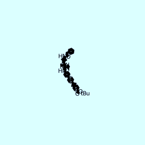 CC(C)(C)OC(=O)N1CCC2(CC1)CC(N1CCN(c3ccc(Nc4ncnc5c4ncn5C4CC(NC(=O)Cc5ccccc5)C4)cc3)CC1)C2